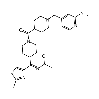 Cc1nc(/C(=N/C(C)O)C2CCN(C(=O)C3CCN(Cc4ccnc(N)c4)CC3)CC2)cs1